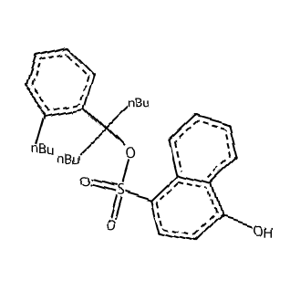 CCCCc1ccccc1C(CCCC)(CCCC)OS(=O)(=O)c1ccc(O)c2ccccc12